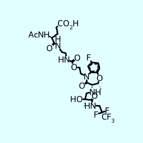 CC(=O)N[C@@H](CCC(=O)O)C(=O)NCCNC(=O)OCCN1C(=O)[C@@H](NC[C@](C)(O)C(=O)NCC(F)(F)C(F)(F)F)[C@@H](C)Oc2ccc(F)cc21